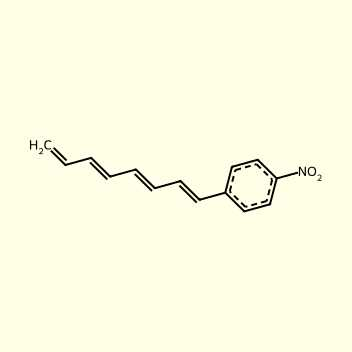 C=CC=CC=CC=Cc1ccc([N+](=O)[O-])cc1